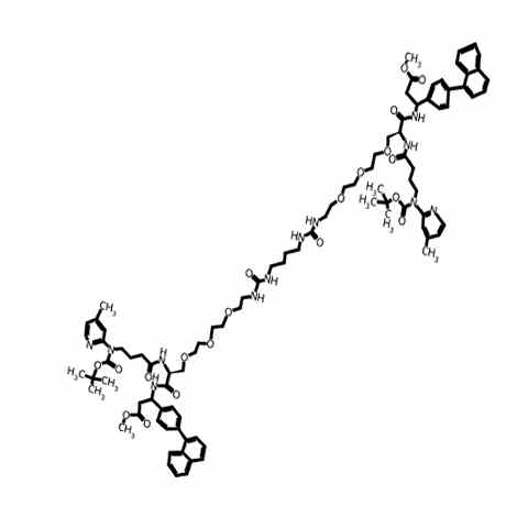 COC(=O)CC(NC(=O)[C@H](COCCOCCOCCNC(=O)NCCCCNC(=O)NCCOCCOCCOC[C@H](NC(=O)CCCN(C(=O)OC(C)(C)C)c1cc(C)ccn1)C(=O)NC(CC(=O)OC)c1ccc(-c2cccc3ccccc23)cc1)NC(=O)CCCN(C(=O)OC(C)(C)C)c1cc(C)ccn1)c1ccc(-c2cccc3ccccc23)cc1